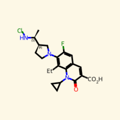 CCc1c(N2CC[C@@H]([C@H](C)NCl)C2)c(F)cc2cc(C(=O)O)c(=O)n(C3CC3)c12